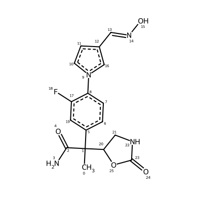 CC(C(N)=O)(c1ccc(-n2ccc(C=NO)c2)c(F)c1)C1CNC(=O)O1